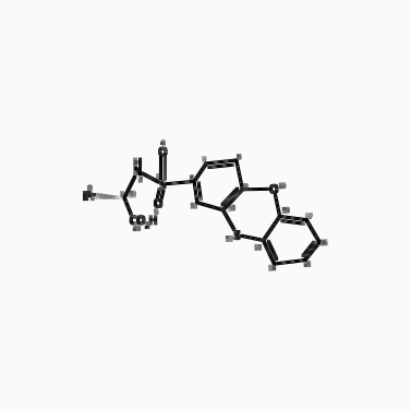 CC(C)[C@H](NS(=O)(=O)c1ccc2c(c1)Sc1ccccc1O2)C(=O)O